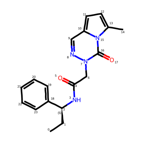 CC[C@H](NC(=O)Cn1ncc2ccc(C)n2c1=O)c1ccccc1